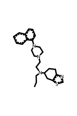 CCCN(CCN1CCN(c2cccc3ccccc23)CC1)C1CCc2ncsc2C1